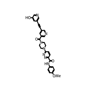 COc1ccc(NC(=O)c2ccc(N3CCN(C(=O)c4cncc(C#Cc5cncc(O)c5)c4)CC3)nn2)cc1